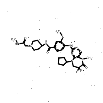 CNC(=O)CN1CCC(NC(=O)c2ccc(Nc3ncc4c(n3)N(C3CCCC3)CC(F)(F)C(=O)N4C)c(OC)c2)CC1